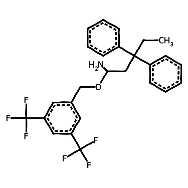 CCC(CC(N)OCc1cc(C(F)(F)F)cc(C(F)(F)F)c1)(c1ccccc1)c1ccccc1